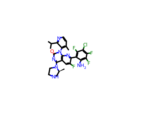 Cc1ccnc(C(C)C)c1-n1c(=O)nc(N2CCNC[C@@H]2C)c2cc(F)c(-c3c(N)c(F)c(F)c(Cl)c3F)nc21